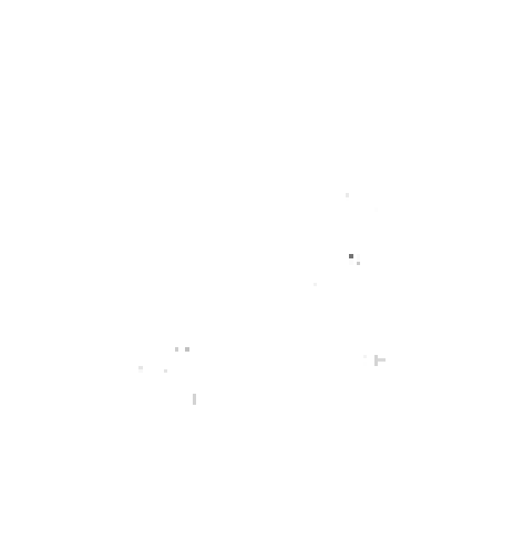 CCCc1nc2c(C)cc(-c3cn4ccsc4n3)cc2n1Cc1ccc(-c2ccccc2OC(=O)O)cc1